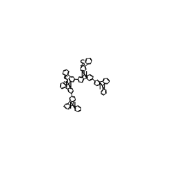 c1ccc(-n2c3ccccc3c3cc(-c4ccc5c(c4)c4ccc(-c6cc(-n7c8ccccc8c8cc(-c9ccc%10c(c9)c9ccccc9n%10-c9ccccc9)ccc87)c7sc8ccccc8c7c6)cc4n5-c4ccc5sc6ccccc6c5c4)ccc32)cc1